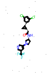 O=C(C[C@@H]1C[C@H]1c1cc(Cl)cc(Cl)c1)N[C@@H]1CCN(c2cncc(C(F)(F)F)c2)C1